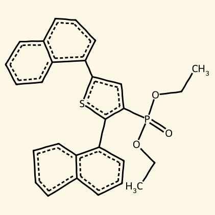 CCOP(=O)(OCC)c1cc(-c2cccc3ccccc23)sc1-c1cccc2ccccc12